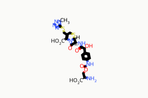 Cn1nnnc1SCC1=C(C(=O)O)N2C(=O)[C@@H](NC(=O)[C@H](O)c3ccc(NC(=O)OC[C@@H](N)C(=O)O)cc3)[C@@H]2SC1